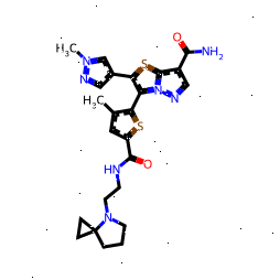 Cc1cc(C(=O)NCCN2CCCC23CC3)sc1-c1c(-c2cnn(C)c2)sc2c(C(N)=O)cnn12